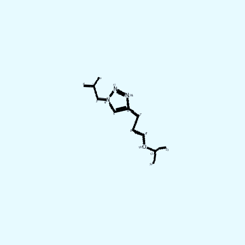 CC(C)Cn1cc(CCCOC(C)C)nn1